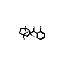 O=C(O)N1[C@@H]2CC[C@H]1CC(O)(C(=O)c1ccccc1F)C2